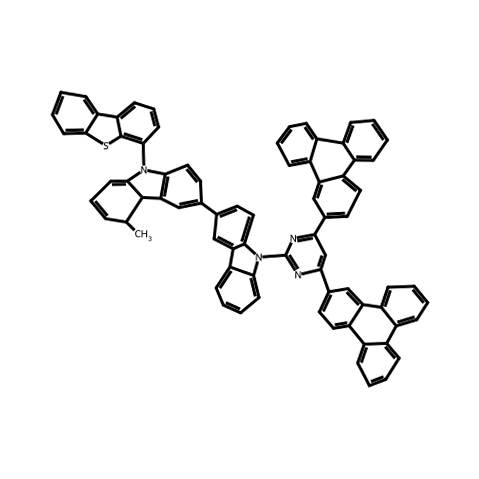 CC1C=CC=C2C1c1cc(-c3ccc4c(c3)c3ccccc3n4-c3nc(-c4ccc5c6ccccc6c6ccccc6c5c4)cc(-c4ccc5c6ccccc6c6ccccc6c5c4)n3)ccc1N2c1cccc2c1sc1ccccc12